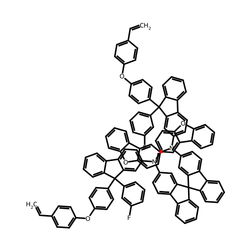 C=Cc1ccc(Oc2ccc(C3(c4cccc(F)c4)c4ccccc4-c4ccc(N(c5ccc6c(c5)C5(c7ccccc7-6)c6ccccc6-c6ccc(N(c7ccc8c(c7)C(c7ccc(Oc9ccc(C=C)cc9)cc7)(c7cccc(F)c7)c7ccccc7-8)c7ccc8oc9ccccc9c8c7)cc65)c5ccc6oc7ccccc7c6c5)cc43)cc2)cc1